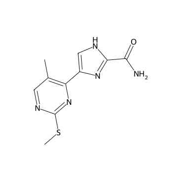 CSc1ncc(C)c(-c2c[nH]c(C(N)=O)n2)n1